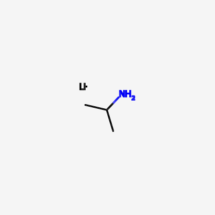 CC(C)N.[Li]